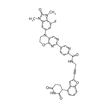 Cn1c(=O)n(C)c2c(F)cc(N3CCOc4nc(-c5ccc(C(=O)NCC#Cc6cc7c(C8CCC(=O)NC8=O)cccc7o6)nc5)ncc43)cc21